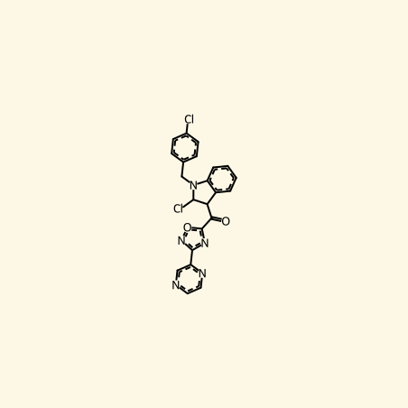 O=C(c1nc(-c2cnccn2)no1)C1c2ccccc2N(Cc2ccc(Cl)cc2)C1Cl